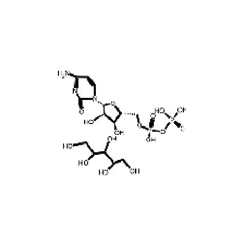 Nc1ccn([C@@H]2O[C@H](COP(=O)(O)OP(=O)(O)O)[C@@H](O)[C@H]2O)c(=O)n1.OCC(O)C(O)C(O)CO